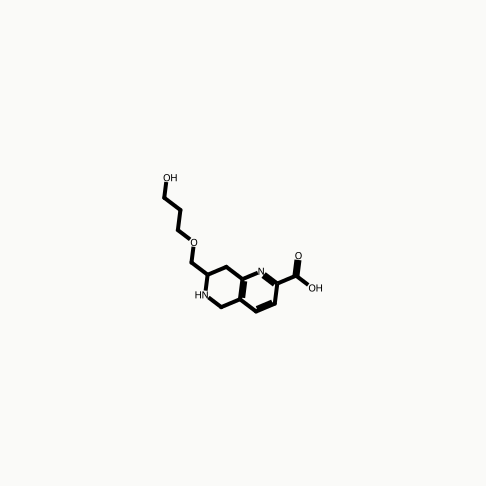 O=C(O)c1ccc2c(n1)CC(COCCCO)NC2